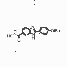 CC(C)COc1ccc(-c2nc3ccc(C(=O)NO)cc3[nH]2)cc1